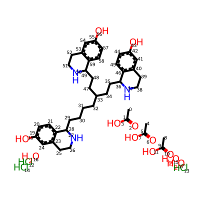 CC(=O)O.CC(=O)O.CC(=O)O.Cl.Cl.Cl.O.O.O.Oc1ccc2c(c1)CCNC2CCCCC(CCC1NCCc2cc(O)ccc21)CCC1NCCc2cc(O)ccc21